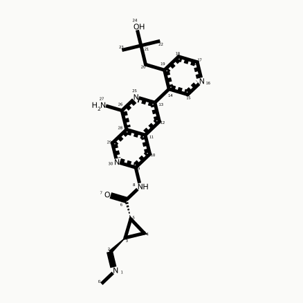 C/N=C/[C@@H]1C[C@H]1C(=O)Nc1cc2cc(-c3cnccc3CC(C)(C)O)nc(N)c2cn1